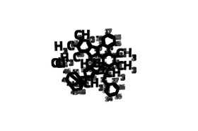 Cc1cc2c(c(C)c1C)C(C)c1c3c(c4ccccc4c1-2)C(C)C(C)C(C)[C]3(C)[Zr+2](=[CH]Cc1ccccc1)[C]1=CC(C)(C23CC4CC(CC(C4)C2)C3)C=C1.[Cl-].[Cl-]